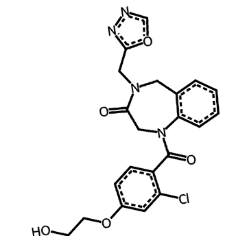 O=C1CN(C(=O)c2ccc(OCCO)cc2Cl)c2ccccc2CN1Cc1nnco1